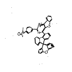 CP(C)(=O)c1ccc(-c2nc(-c3cccc4c3-c3ccccc3C43c4ccccc4Oc4ccccc43)c3sc4ccccc4c3n2)cc1